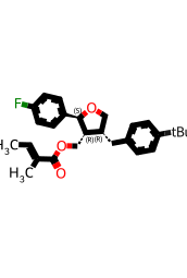 CC=C(C)C(=O)OC[C@H]1[C@@H](Cc2ccc(C(C)(C)C)cc2)CO[C@@H]1c1ccc(F)cc1